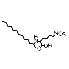 CCCCCCCCCCCC(C)NC(CCCCN=C=S)C(=O)O